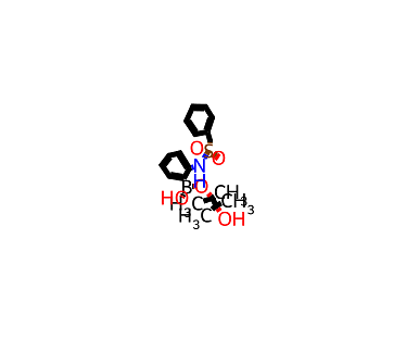 CC(C)(O)C(C)(C)OB(O)c1ccccc1NS(=O)(=O)Cc1ccccc1